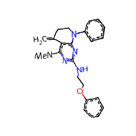 C=C1CCN(c2ccccc2)c2nc(NCCOc3ccccc3)nc(NC)c21